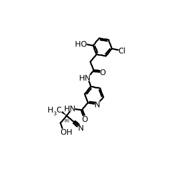 C[C@@](C#N)(CO)NC(=O)c1cc(NC(=O)Cc2cc(Cl)ccc2O)ccn1